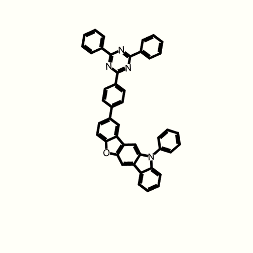 c1ccc(-c2nc(-c3ccccc3)nc(-c3ccc(-c4ccc5oc6cc7c8ccccc8n(-c8ccccc8)c7cc6c5c4)cc3)n2)cc1